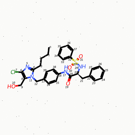 CCCCc1nc(Cl)c(CO)n1Cc1ccc(NC(=O)[C@H](Cc2ccccc2)NS(=O)(=O)c2ccccc2)cc1